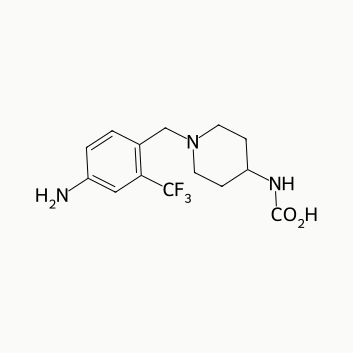 Nc1ccc(CN2CCC(NC(=O)O)CC2)c(C(F)(F)F)c1